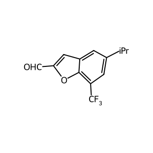 CC(C)c1cc(C(F)(F)F)c2oc(C=O)cc2c1